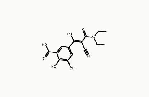 CCN(CC)C(=O)/C(C#N)=C(\O)c1cc(O)c(O)c(C(=O)O)c1